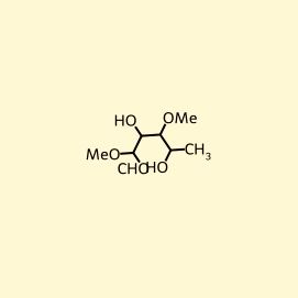 COC(C=O)C(O)C(OC)C(C)O